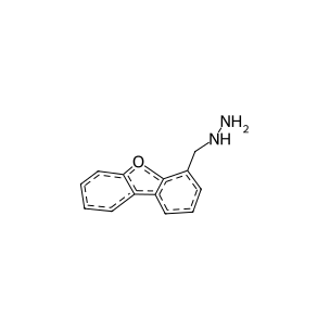 NNCc1cccc2c1oc1ccccc12